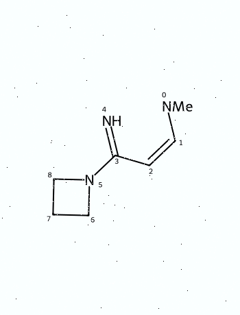 CN/C=C\C(=N)N1CCC1